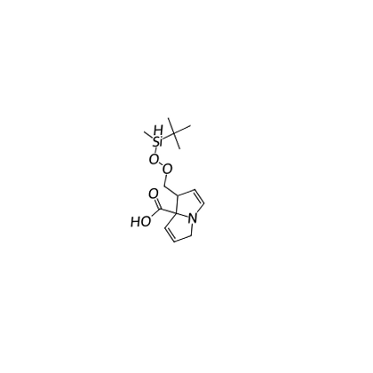 C[SiH](OOCC1C=CN2CC=CC12C(=O)O)C(C)(C)C